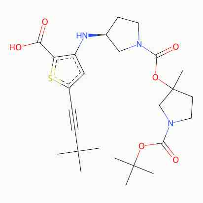 CC(C)(C)C#Cc1cc(N[C@H]2CCN(C(=O)OC3(C)CCN(C(=O)OC(C)(C)C)C3)C2)c(C(=O)O)s1